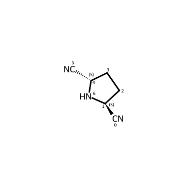 N#C[C@@H]1CC[C@@H](C#N)N1